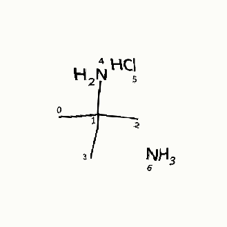 CC(C)(C)N.Cl.N